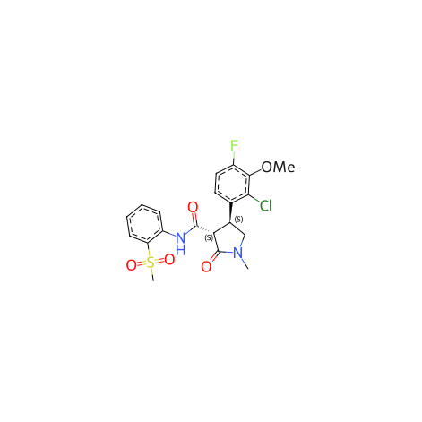 COc1c(F)ccc([C@H]2CN(C)C(=O)[C@@H]2C(=O)Nc2ccccc2S(C)(=O)=O)c1Cl